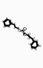 O=S(OCCCc1ccccc1)OCCCc1ccccc1